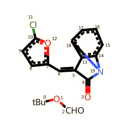 CC(C)(C)OC=O.O=C1C(=Cc2ccc(Cl)o2)c2c3cccc2N13